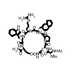 CCCC[C@@H](NC(C)=O)C(=O)N[C@@H]1CC(=O)NCCCC[C@@H](C(N)=O)NC(=O)[C@H](Cc2c[nH]c3ccccc23)NC(=O)[C@@H](CCCN=C(N)N)NC(=O)[C@H](Cc2ccc3ccccc3c2)NC(=O)[C@H]2CCCN2C1=O